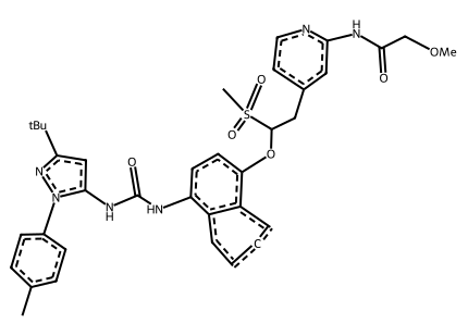 COCC(=O)Nc1cc(CC(Oc2ccc(NC(=O)Nc3cc(C(C)(C)C)nn3-c3ccc(C)cc3)c3ccccc23)S(C)(=O)=O)ccn1